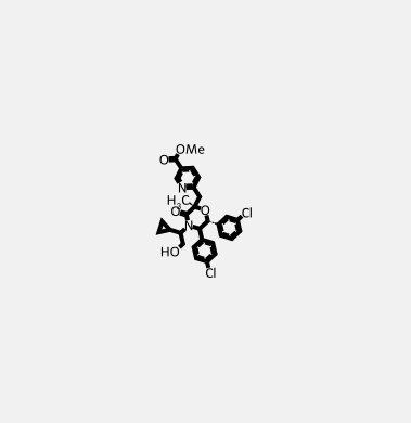 COC(=O)c1ccc(C[C@@]2(C)O[C@H](c3cccc(Cl)c3)C(c3ccc(Cl)cc3)N(C(CO)C3CC3)C2=O)nc1